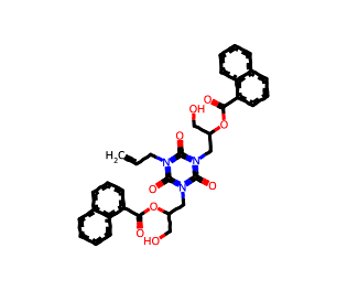 C=CCn1c(=O)n(CC(CO)OC(=O)c2cccc3ccccc23)c(=O)n(CC(CO)OC(=O)c2cccc3ccccc23)c1=O